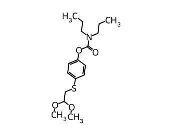 CCCN(CCC)C(=O)Oc1ccc(SCC(OC)OC)cc1